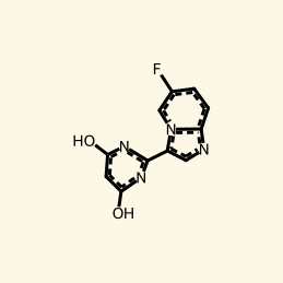 Oc1cc(O)nc(-c2cnc3ccc(F)cn23)n1